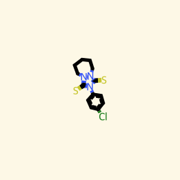 S=c1n(-c2ccc(Cl)cc2)c(=S)n2n1CCCCC2